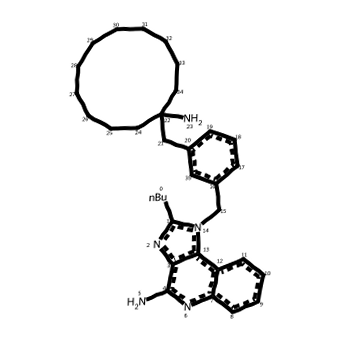 CCCCc1nc2c(N)nc3ccccc3c2n1Cc1cccc(CC2(N)CCCCCCCCCCC2)c1